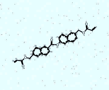 C=CC(=O)OCc1ccc2cc(OC(=O)c3ccc4cc(COC(=O)C=C)ccc4c3)ccc2c1